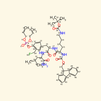 C=CCOP(=O)(OCC=C)Oc1ccc(CC(NC(=O)C(CCCCNC(=O)OC(C)(C)C)NC(=O)OCC2c3ccccc3-c3ccccc32)C(=O)NC(CC(C)C)C(N)=O)cc1CF